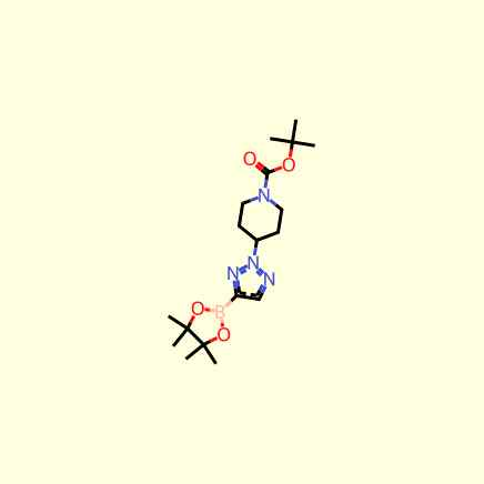 CC(C)(C)OC(=O)N1CCC(n2ncc(B3OC(C)(C)C(C)(C)O3)n2)CC1